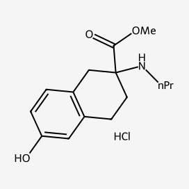 CCCNC1(C(=O)OC)CCc2cc(O)ccc2C1.Cl